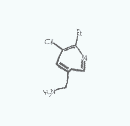 CCc1ncc(CN)cc1Cl